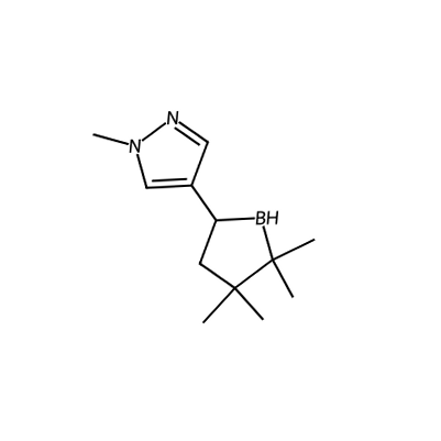 Cn1cc(C2BC(C)(C)C(C)(C)C2)cn1